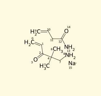 C=CC(=O)C(C)(C)CN.C=CCC(N)=O.[Na]